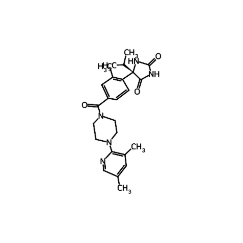 Cc1cnc(N2CCN(C(=O)c3ccc([C@]4(C(C)C)NC(=O)NC4=O)c(C)c3)CC2)c(C)c1